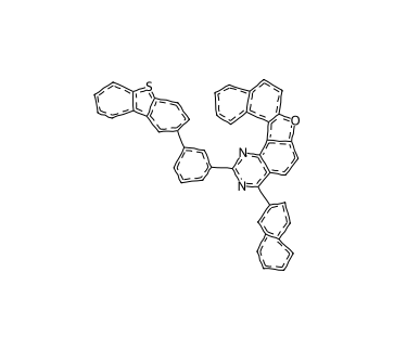 c1cc(-c2ccc3sc4ccccc4c3c2)cc(-c2nc(-c3ccc4ccccc4c3)c3ccc4oc5ccc6ccccc6c5c4c3n2)c1